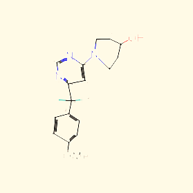 COc1ccc(C(F)(F)c2cc(N3CCC(O)CC3)ncn2)cc1